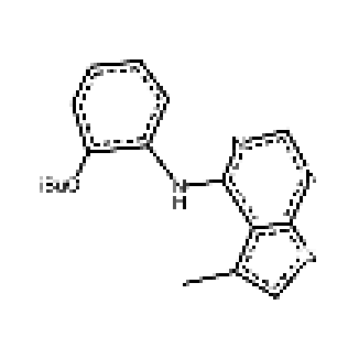 Cc1csc2ncnc(Nc3ccccc3OCC(C)C)c12